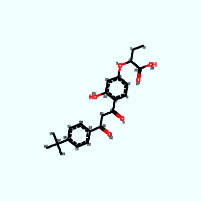 CCC(Oc1ccc(C(=O)CC(=O)c2ccc(C(C)(C)C)cc2)c(O)c1)C(=O)O